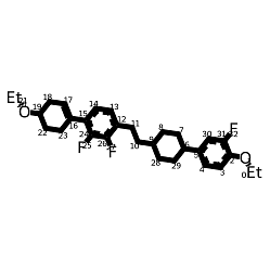 CCOc1ccc(C2CCC(CCc3ccc(C4=CCC(OCC)CC4)c(F)c3F)CC2)cc1F